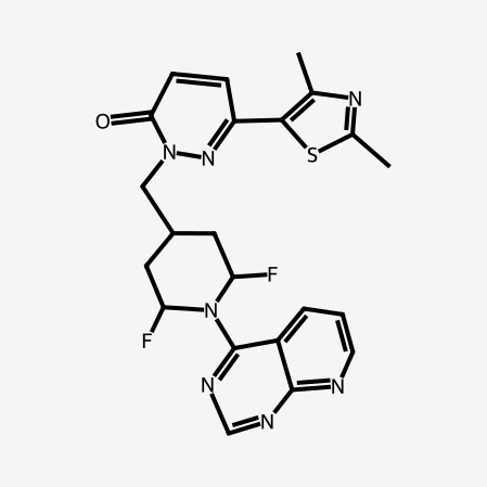 Cc1nc(C)c(-c2ccc(=O)n(CC3CC(F)N(c4ncnc5ncccc45)C(F)C3)n2)s1